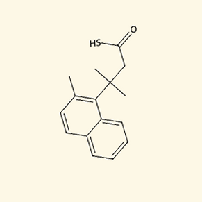 Cc1ccc2ccccc2c1C(C)(C)CC(=O)S